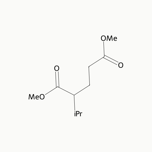 COC(=O)CCC(C(=O)OC)C(C)C